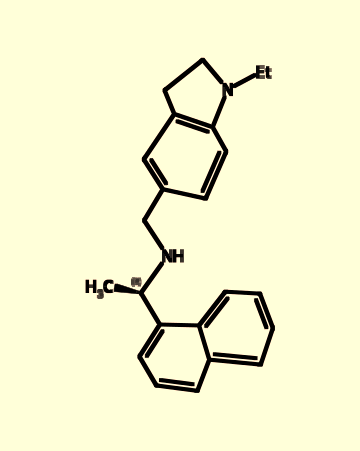 CCN1CCc2cc(CN[C@H](C)c3cccc4ccccc34)ccc21